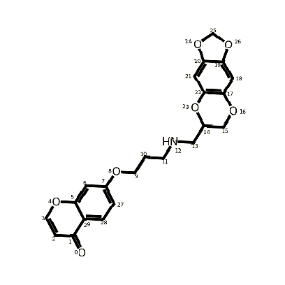 O=c1ccoc2cc(OCCCNCC3COc4cc5c(cc4O3)OCO5)ccc12